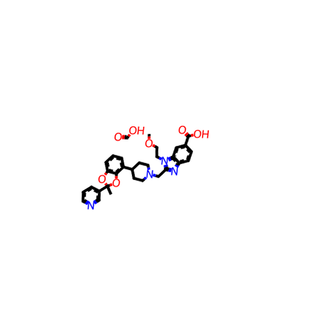 COCCn1c(CN2CCC(c3cccc4c3OC(C)(c3cccnc3)O4)CC2)nc2ccc(C(=O)O)cc21.O=CO